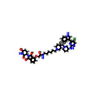 O=CC1(CN2CCC[C@@H](Nc3ncc(Cl)c(-c4c[nH]c5ccccc45)n3)C2)CCN(CCCCCCNC(=O)COc2cccc3c2C(=O)N(C2CCC(=O)NC2=O)C3=O)CC1